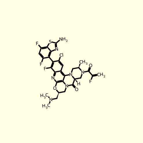 C=C(F)C(=O)N1C[C@@H]2C(=O)N3C[C@@H](CN(C)C)Oc4nc5c(F)c(-c6c(F)cc(F)c7sc(N)nc67)c(Cl)cc5c(c43)N2C[C@H]1C